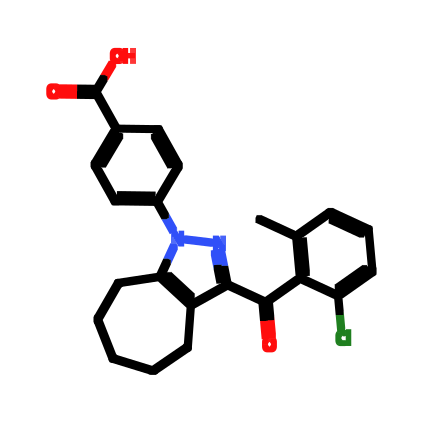 Cc1cccc(Cl)c1C(=O)c1nn(-c2ccc(C(=O)O)cc2)c2c1CCCCC2